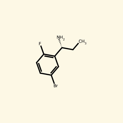 CC[C@@H](N)c1cc(Br)ccc1F